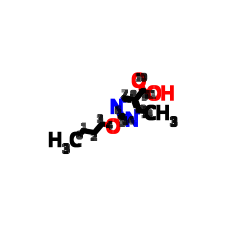 CCCCOc1ncc(C(=O)O)c(C)n1